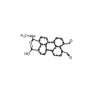 CNC(=O)c1ccc2c3ccc(C=O)c4c(C=O)ccc(c5ccc(C(=O)O)c1c52)c43